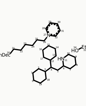 C1CCC(C(CC2CCCCN2)C2CCCCC2)CC1.CCCCCCCCCCCCCCCC[n+]1ccccc1.CCO